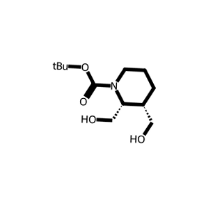 CC(C)(C)OC(=O)N1CCC[C@H](CO)[C@@H]1CO